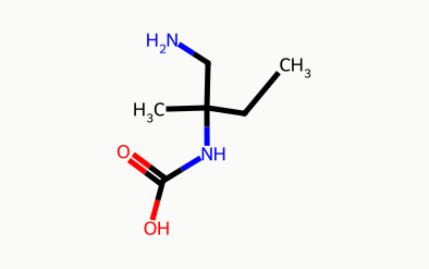 CCC(C)(CN)NC(=O)O